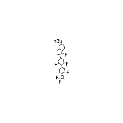 CCCCc1ccc2c(F)c(-c3cc(F)c(-c4ccc(OC(F)F)c(F)c4)c(F)c3)ccc2c1